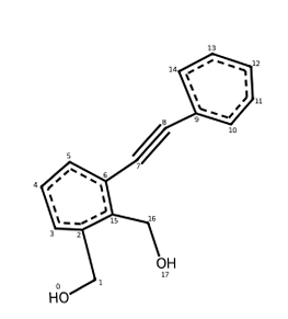 OCc1cccc(C#Cc2ccccc2)c1CO